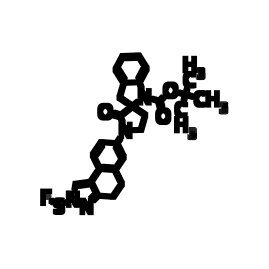 CC(C)(C)OC(=O)N1c2ccccc2CC12CCN(c1ccc3c(c1)CCc1nn(SF)cc1-3)C2=O